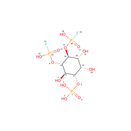 O=P(O)(O)O[C@@H]1[C@@H](O)[C@H](OP(=O)(O)F)[C@@H](OP(=O)(O)F)[C@H](O)[C@@H]1O